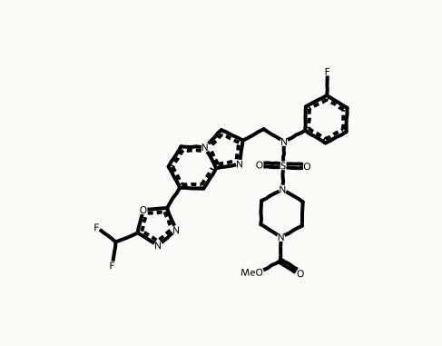 COC(=O)N1CCN(S(=O)(=O)N(Cc2cn3ccc(-c4nnc(C(F)F)o4)cc3n2)c2cccc(F)c2)CC1